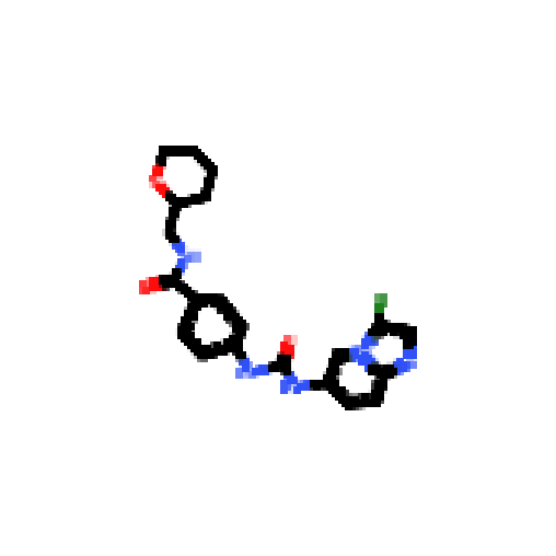 O=C(Nc1ccc(C(=O)NCC2CCCCO2)cc1)Nc1ccc2ncc(Cl)n2c1